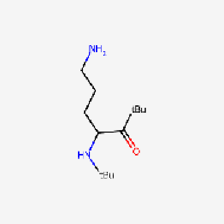 CC(C)(C)NC(CCCN)C(=O)C(C)(C)C